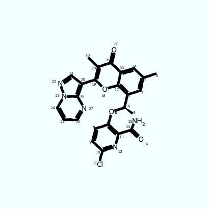 Cc1cc([C@@H](C)Oc2ccc(Cl)nc2C(N)=O)c2oc(-c3cnn4cccnc34)c(C)c(=O)c2c1